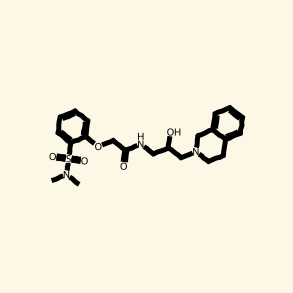 CN(C)S(=O)(=O)c1ccccc1OCC(=O)NCC(O)CN1CCc2ccccc2C1